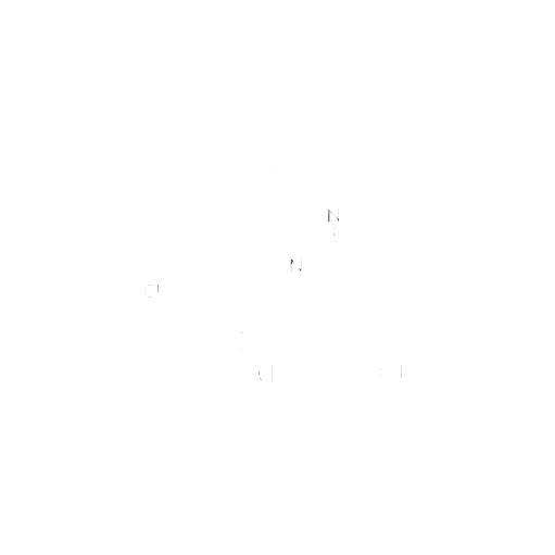 CCCCc1nc2cccc(CCCl)c2n1Cc1ccccc1Cl